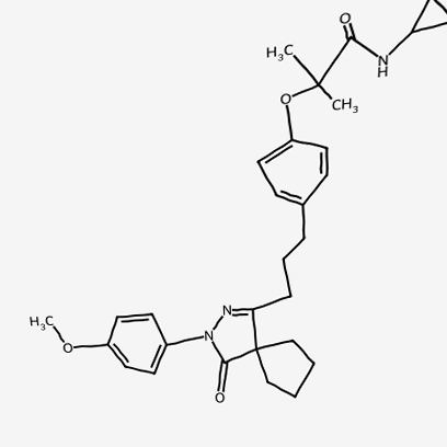 COc1ccc(N2N=C(CCCc3ccc(OC(C)(C)C(=O)NC4CC4)cc3)C3(CCCC3)C2=O)cc1